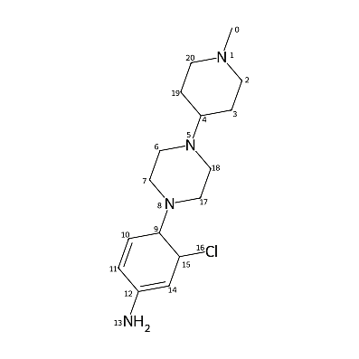 CN1CCC(N2CCN(C3C=CC(N)=CC3Cl)CC2)CC1